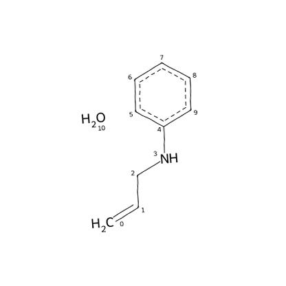 C=CCNc1ccccc1.O